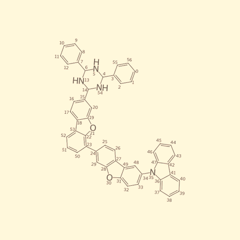 c1ccc(C2NC(c3ccccc3)NC(c3ccc4c(c3)oc3c(-c5ccc6c(c5)oc5ccc(-n7c8ccccc8c8ccccc87)cc56)cccc34)N2)cc1